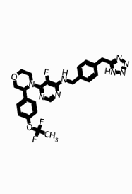 CC(F)(F)Oc1ccc(C2COCCN2c2ncnc(NCc3ccc(Cc4nnn[nH]4)cc3)c2F)cc1